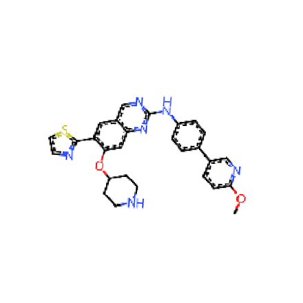 COc1ccc(-c2ccc(Nc3ncc4cc(-c5nccs5)c(OC5CCNCC5)cc4n3)cc2)cn1